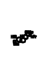 CCCOc1cc2c(cc1OC)[C@H]1C[C@@H](O)[C@H](OC(C)(C)C)CN1CC2